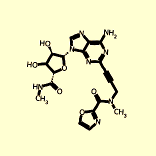 CNC(=O)[C@H]1O[C@@H](n2cnc3c(N)nc(C#CCN(C)C(=O)c4ncco4)nc32)[C@H](O)C1O